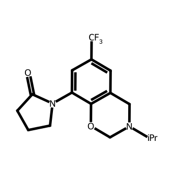 CC(C)N1COc2c(cc(C(F)(F)F)cc2N2CCCC2=O)C1